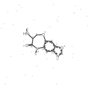 CNC1COc2cc3ocnc3cc2N(C)C1=O